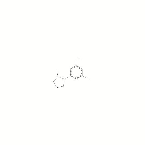 COc1cc(O)cc(N2CCCC2C(=O)O)c1